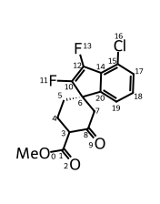 COC(=O)C1CC[C@]2(CC1=O)C(F)=C(F)c1c(Cl)cccc12